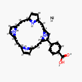 O=C(O)c1ccc(-c2cc3cc4nc(cc5ccc(cc6nc(cc2[nH]3)C=C6)[nH]5)C=C4)cc1.[Ni]